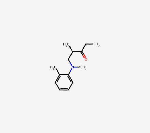 CCC(=O)[C@H](C)CN(C)c1ccccc1C